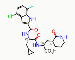 O=C(N[C@@H](CC1CC1)C(=O)N[C@@H](C[C@@H]1CCCNC1=O)C(=O)O)c1cc2c(Cl)ccc(F)c2[nH]1